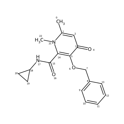 Cc1cc(=O)c(OCc2ccccc2)c(C(=O)NC2CC2)n1C